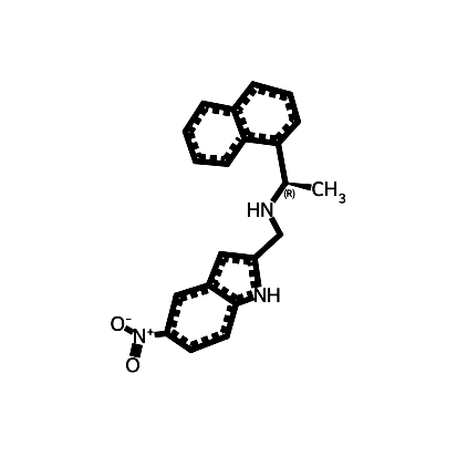 C[C@@H](NCc1cc2cc([N+](=O)[O-])ccc2[nH]1)c1cccc2ccccc12